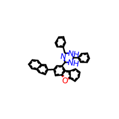 c1ccc(C2=NC(c3cc(-c4ccc5ccccc5c4)cc4oc5ccccc5c34)NC(c3ccccc3)N2)cc1